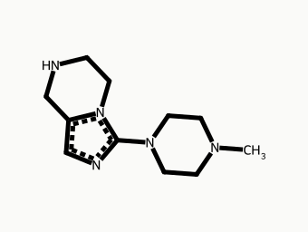 CN1CCN(c2ncc3n2CCNC3)CC1